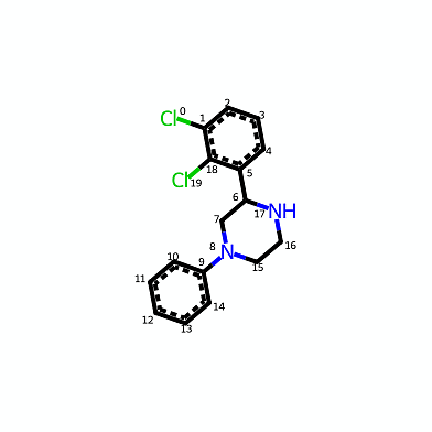 Clc1cccc(C2CN(c3ccccc3)CCN2)c1Cl